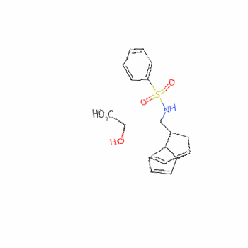 O=C(O)CO.O=S(=O)(NCC1CC2=C3C=CC(=C2)C31)c1ccccc1